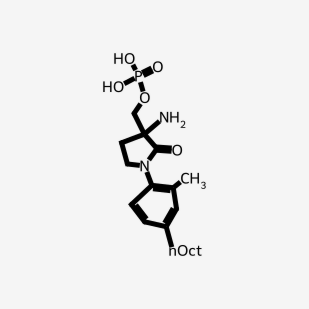 CCCCCCCCc1ccc(N2CCC(N)(COP(=O)(O)O)C2=O)c(C)c1